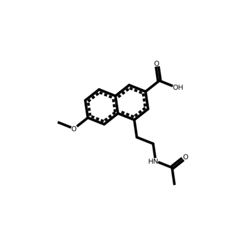 COc1ccc2cc(C(=O)O)cc(CCNC(C)=O)c2c1